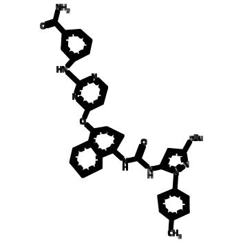 CCCCc1cc(NC(=O)Nc2ccc(Oc3ccnc(Nc4cccc(C(N)=O)c4)n3)c3ccccc23)n(-c2ccc(C)cc2)n1